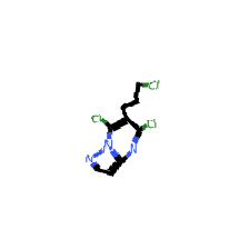 ClCCCc1c(Cl)nc2ccnn2c1Cl